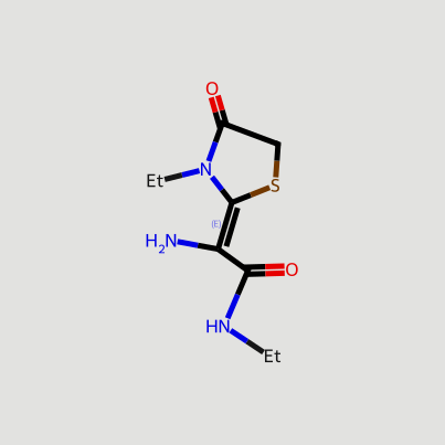 CCNC(=O)/C(N)=C1\SCC(=O)N1CC